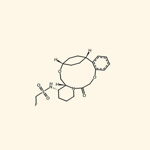 O=C1COc2ccccc2[C@H]2CC[C@H](CC2)OC[C@H]2[C@@H](NS(=O)(=O)CF)CCCN12